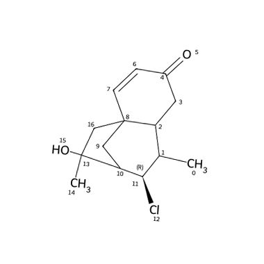 CC1C2CC(=O)C=CC23CC([C@@H]1Cl)C(C)(O)C3